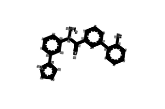 CCc1ccccc1-c1cccc(C(=O)N(N)c2cccc(-c3cccs3)c2)c1